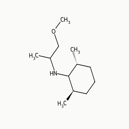 COCC(C)NC1[C@H](C)CCC[C@H]1C